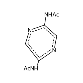 CC(=O)Nc1cnc(NC(C)=O)cn1